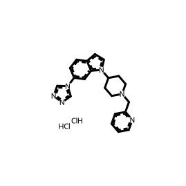 Cl.Cl.c1ccc(CN2CCC(n3ccc4ccc(-n5cnnc5)cc43)CC2)nc1